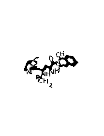 C=NN/C(=C\C(=N)C(=O)N1CCc2ccccc2[C@H]1C)c1nccs1